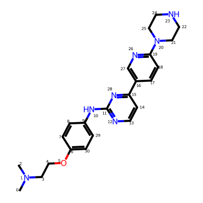 CN(C)CCOc1ccc(Nc2nccc(-c3ccc(N4CCNCC4)nc3)n2)cc1